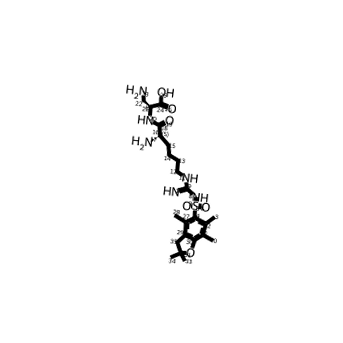 Cc1c(C)c(S(=O)(=O)NC(=N)NCCCC[C@H](N)C(=O)N[C@@H](CN)C(=O)O)c(C)c2c1OC(C)(C)C2